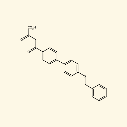 O=C(O)C(=O)CC(=O)c1ccc(-c2ccc(SCc3ccccc3)cc2)cc1